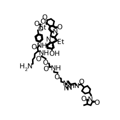 CCc1c2c(nc3ccc(O)cc13)-c1cc3c(c(=O)n1C2)CCC(=O)C3(CC)OC(=O)OCc1ccc(NC(=O)C(CCCCN)NC(=O)COCC(=O)NCCOCCn2cc(CNC(=O)C3CCC(CN4C(=O)CC(C)C4=O)CC3)nn2)cc1